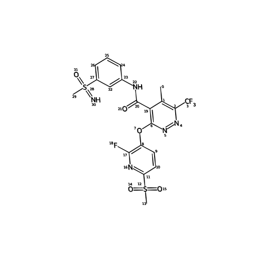 Cc1c(C(F)(F)F)nnc(Oc2ccc(S(C)(=O)=O)nc2F)c1C(=O)Nc1cccc(S(C)(=N)=O)c1